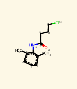 Cc1cccc(C)c1NC(=O)CCCCl